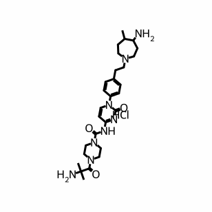 CC1CCN(CCc2ccc(-n3ccc(NC(=O)N4CCN(C(=O)C(C)(C)N)CC4)nc3=O)cc2)CCC1N.Cl